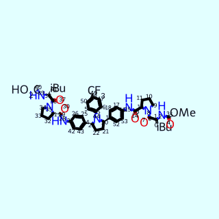 CCC(C)C(NC(=O)OC)C(=O)N1CCCC1C(=O)Nc1ccc([C@H]2CC[C@H](c3ccc(NC(=O)[C@@H]4CCCN4C(=O)[C@@H](NC(=O)O)[C@@H](C)CC)cc3)N2c2ccc(C(F)(F)F)cc2)cc1